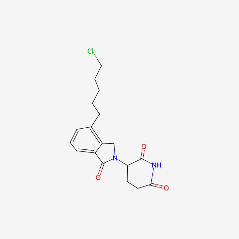 O=C1CCC(N2Cc3c(CCCCCCl)cccc3C2=O)C(=O)N1